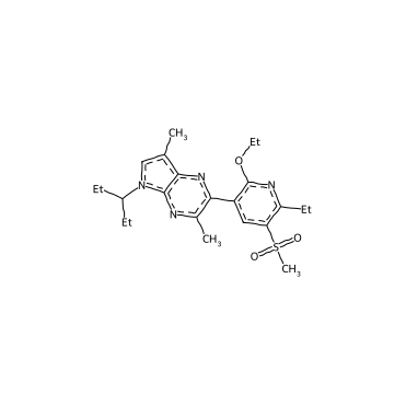 CCOc1nc(CC)c(S(C)(=O)=O)cc1-c1nc2c(C)cn(C(CC)CC)c2nc1C